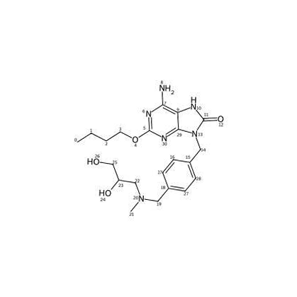 CCCCOc1nc(N)c2[nH]c(=O)n(Cc3ccc(CN(C)CC(O)CO)cc3)c2n1